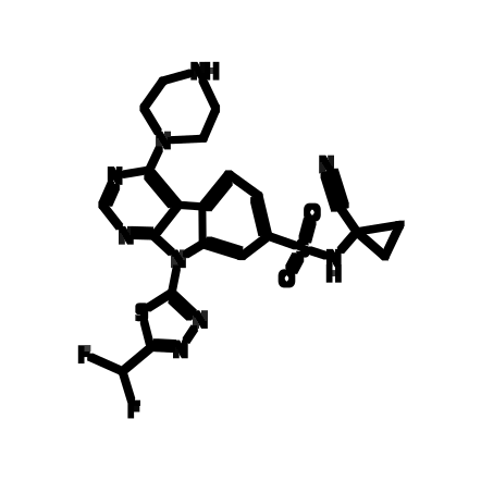 N#CC1(NS(=O)(=O)c2ccc3c4c(N5CCNCC5)ncnc4n(-c4nnc(C(F)F)s4)c3c2)CC1